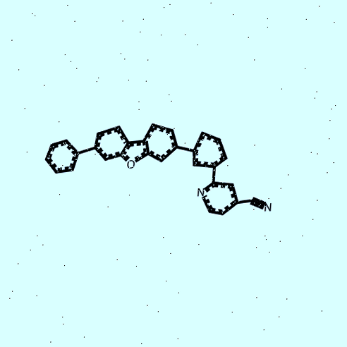 N#Cc1ccnc(-c2cccc(-c3ccc4c(c3)oc3cc(-c5ccccc5)ccc34)c2)c1